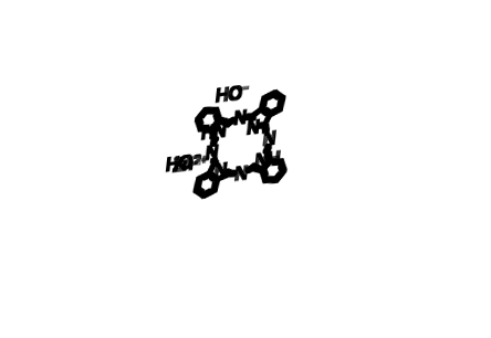 [OH-].[OH-].[Zn+2].c1ccc2c(c1)-c1nc-2nc2[nH]c(nc3nc(nc4[nH]c(n1)c1ccccc41)-c1ccccc1-3)c1ccccc21